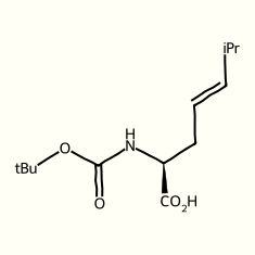 CC(C)C=CC[C@H](NC(=O)OC(C)(C)C)C(=O)O